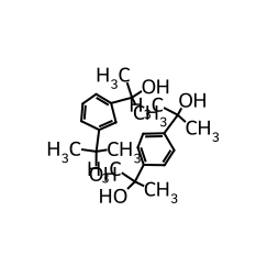 CC(C)(O)c1ccc(C(C)(C)O)cc1.CC(C)(O)c1cccc(C(C)(C)O)c1